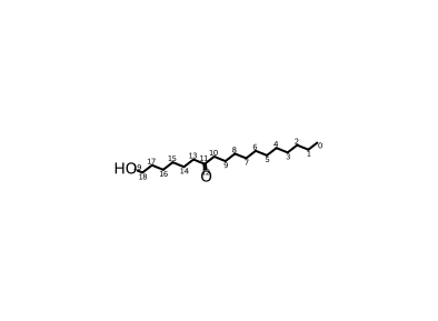 CCCCCCCCCCCC(=O)CCCCCCO